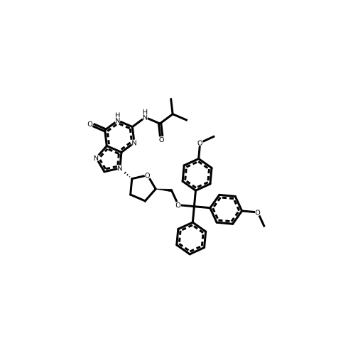 COc1ccc(C(OC[C@H]2[CH]C[C@H](n3cnc4c(=O)[nH]c(NC(=O)C(C)C)nc43)O2)(c2ccccc2)c2ccc(OC)cc2)cc1